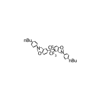 CCCCc1ccc(N2COc3ccc(C(c4ccc5c(c4)CN(c4ccc(CCCC)cc4)CO5)(C(F)(F)F)C(F)(F)F)cc3C2)cc1